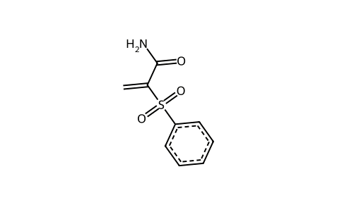 C=C(C(N)=O)S(=O)(=O)c1ccccc1